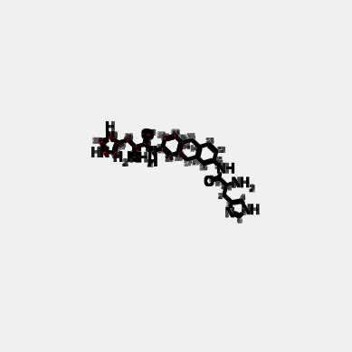 N[C@@H](Cc1c[nH]cn1)C(=O)Nc1ccc2c(c1)C1c3cc(NC(=O)[C@@H](N)Cc4c[nH]cn4)ccc3C2c2ccc(NC(=O)[C@@H](N)Cc3cnc[nH]3)cc21